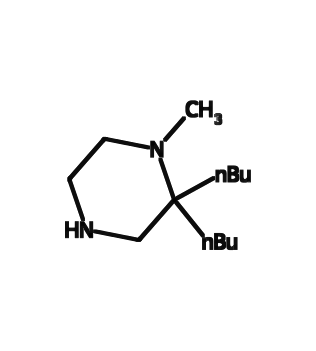 CCCCC1(CCCC)CNCCN1C